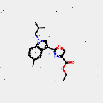 CCOC(=O)c1coc(-c2cn(CC(C)C)c3ccc(C)cc23)n1